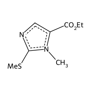 CCOC(=O)c1cnc(SC)n1C